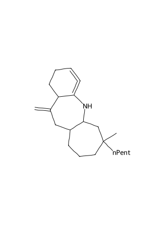 C=C1CC2CCCC(C)(CCCCC)CC2NC2=C=CCCC12